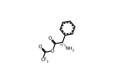 N[C@H](C(=O)OC(=O)C(F)(F)F)c1ccccc1